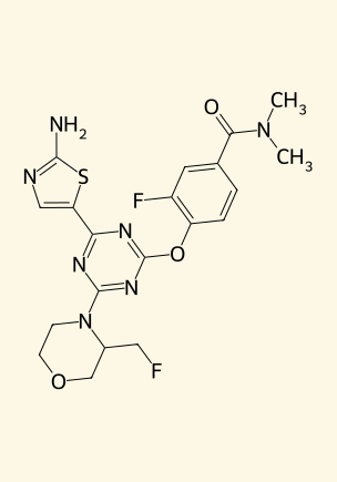 CN(C)C(=O)c1ccc(Oc2nc(-c3cnc(N)s3)nc(N3CCOCC3CF)n2)c(F)c1